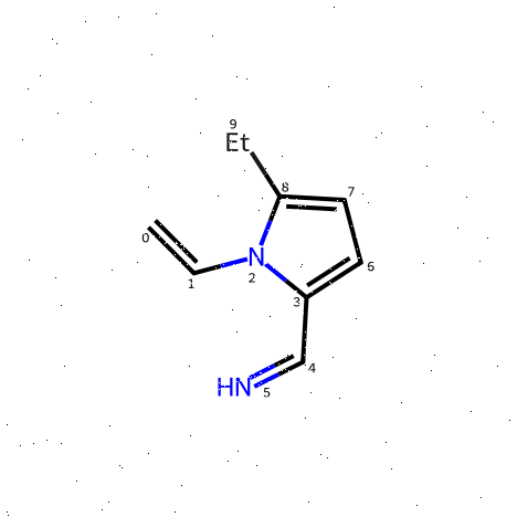 C=Cn1c(C=N)ccc1CC